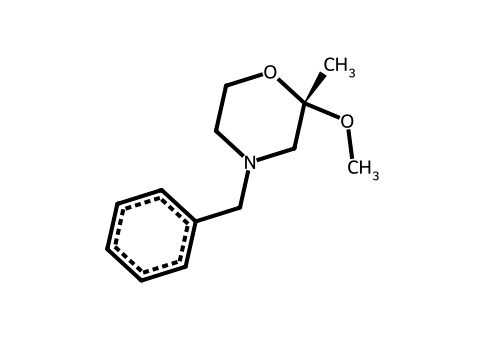 CO[C@]1(C)CN(Cc2ccccc2)CCO1